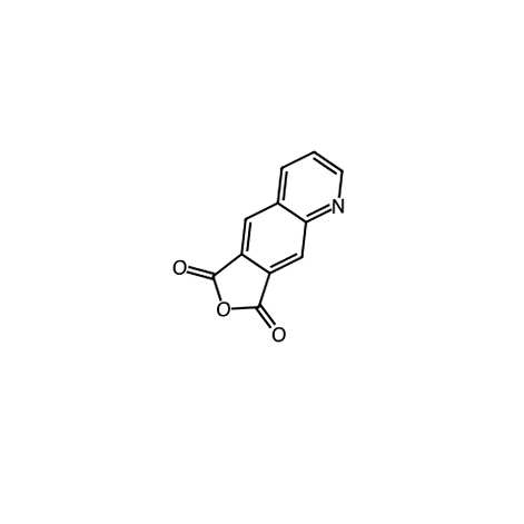 O=C1OC(=O)c2cc3ncccc3cc21